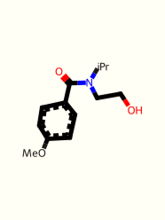 COc1ccc(C(=O)N(CCO)C(C)C)cc1